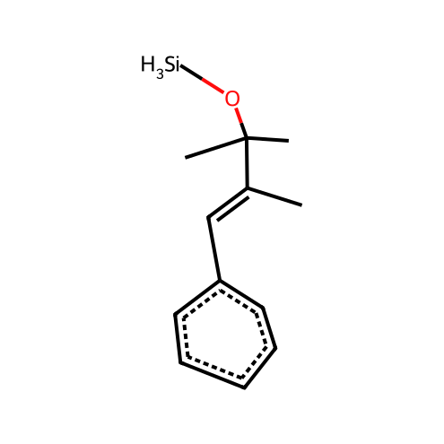 C/C(=C\c1ccccc1)C(C)(C)O[SiH3]